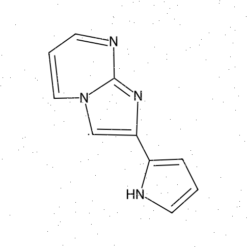 [c]1c(-c2ccc[nH]2)nc2ncccn12